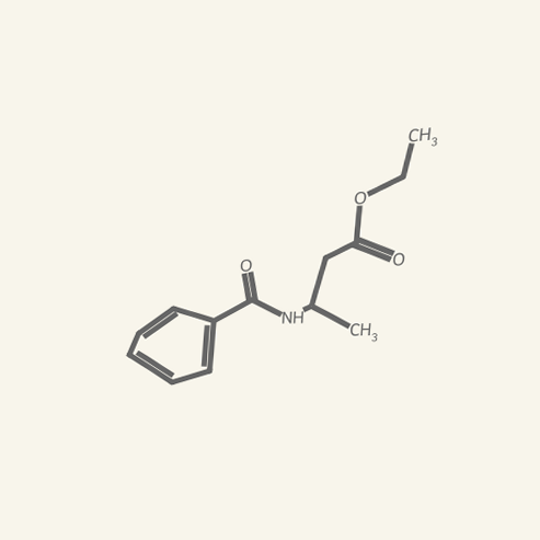 CCOC(=O)CC(C)NC(=O)c1ccccc1